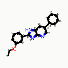 CCOc1cccc(-c2nc3ncc(-c4ccccc4)cc3[nH]2)c1